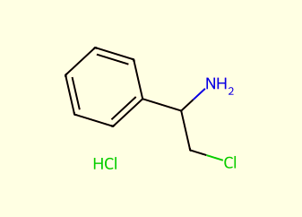 Cl.NC(CCl)c1ccccc1